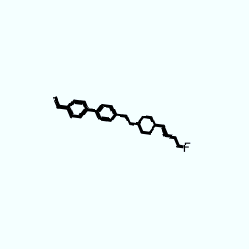 CCc1ccc(-c2ccc(CCC3CCC(C=CCCF)CC3)cc2)cc1